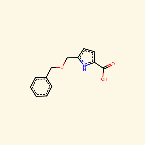 O=C(O)c1ccc(COCc2ccccc2)[nH]1